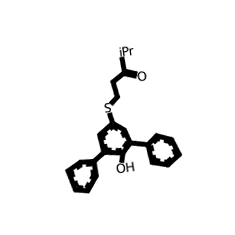 CC(C)C(=O)CCSc1cc(-c2ccccc2)c(O)c(-c2ccccc2)c1